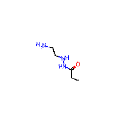 CCC(=O)NNCCN